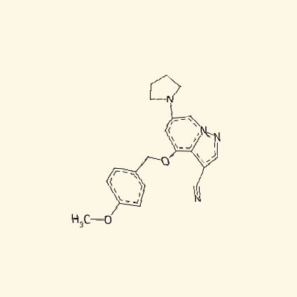 COc1ccc(COc2cc(N3CCCC3)cn3ncc(C#N)c23)cc1